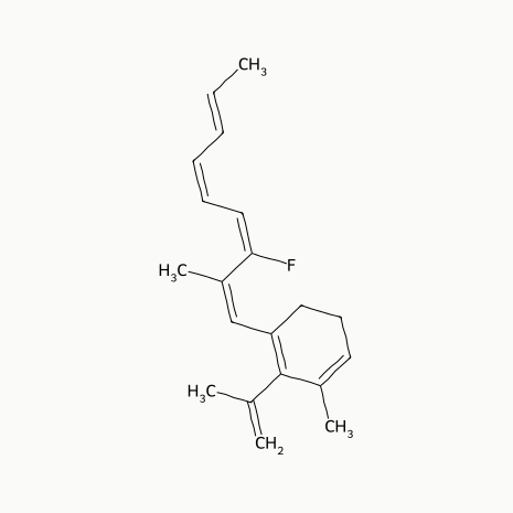 C=C(C)C1=C(\C=C(C)/C(F)=C\C=C/C=C/C)CCC=C1C